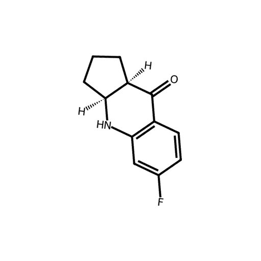 O=C1c2ccc(F)cc2N[C@H]2CCC[C@@H]12